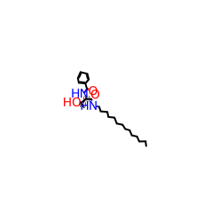 CCCCCCCCCCCCCCNC(=O)[C@@H](NC(=O)c1ccccc1)[C@@H](C)O